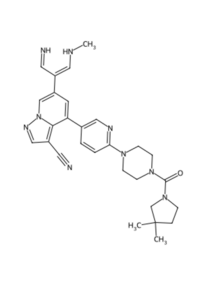 CN/C=C(\C=N)c1cc(-c2ccc(N3CCN(C(=O)N4CCC(C)(C)C4)CC3)nc2)c2c(C#N)cnn2c1